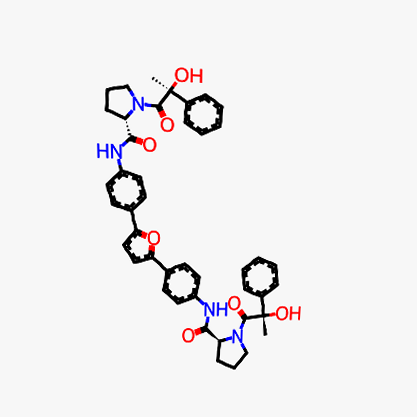 C[C@@](O)(C(=O)N1CCC[C@H]1C(=O)Nc1ccc(-c2ccc(-c3ccc(NC(=O)[C@@H]4CCCN4C(=O)[C@@](C)(O)c4ccccc4)cc3)o2)cc1)c1ccccc1